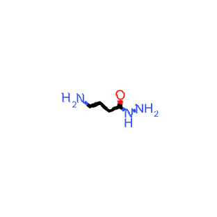 NCCCC(=O)NN